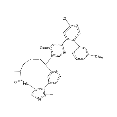 COc1cccc(-c2ccc(Cl)cc2-c2cc(=O)n(C3CCCC(C)C(=O)Nc4cnn(C)c4-c4ccnc3c4)cn2)c1